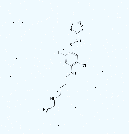 CCNCCCCNc1cc(F)c(SNc2ncns2)cc1Cl